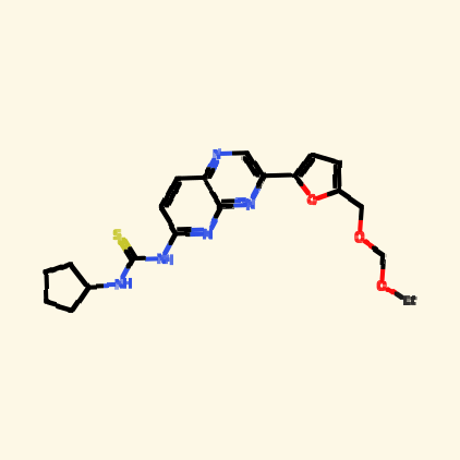 CCOCOCc1ccc(-c2cnc3ccc(NC(=S)NC4CCCC4)nc3n2)o1